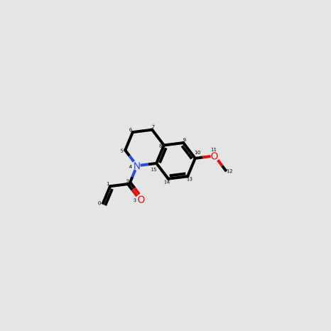 C=CC(=O)N1CCCc2cc(OC)ccc21